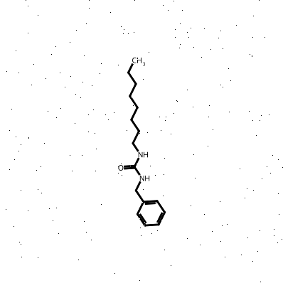 CCCCCCCCNC(=O)NCc1ccccc1